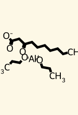 CCCCCCCC(=O)CC(=O)[O-].CCC[O][Al+][O]CCC